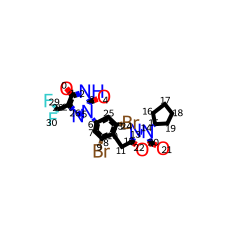 O=c1[nH]c(=O)n(-c2cc(Br)c(Cc3nn(C4CCCC4)c(=O)o3)c(Br)c2)nc1C(F)F